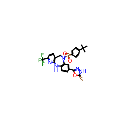 CC(C)(C)c1ccc(S(=O)(=O)N2Cc3ccc(C(F)(F)F)nc3Nc3ccc(-c4n[nH]c(=S)o4)cc32)cc1